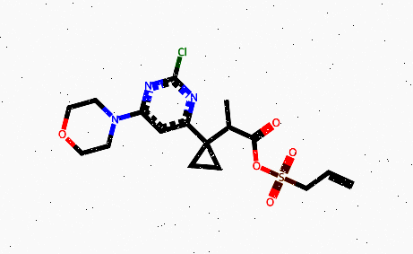 C=CCS(=O)(=O)OC(=O)C(C)C1(c2cc(N3CCOCC3)nc(Cl)n2)CC1